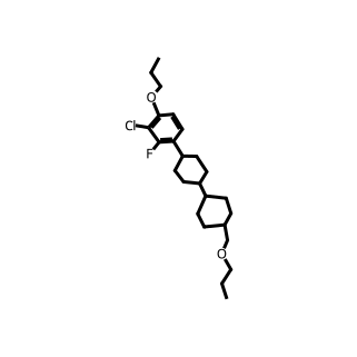 CCCOCC1CCC(C2CCC(c3ccc(OCCC)c(Cl)c3F)CC2)CC1